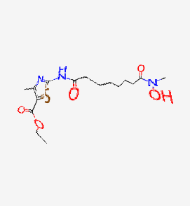 CCOC(=O)c1sc(NC(=O)CCCCCCC(=O)N(C)O)nc1C